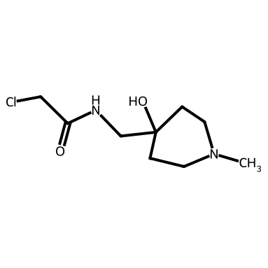 CN1CCC(O)(CNC(=O)CCl)CC1